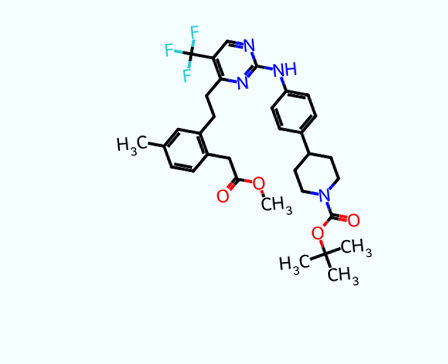 COC(=O)Cc1ccc(C)cc1CCc1nc(Nc2ccc(C3CCN(C(=O)OC(C)(C)C)CC3)cc2)ncc1C(F)(F)F